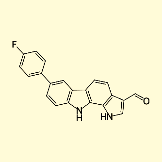 O=Cc1c[nH]c2c1ccc1c3cc(-c4ccc(F)cc4)ccc3[nH]c12